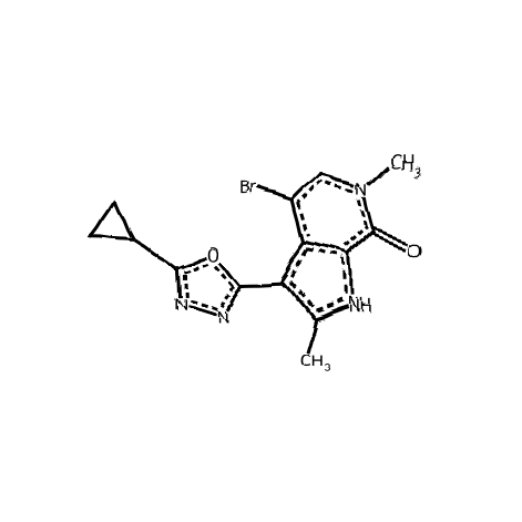 Cc1[nH]c2c(=O)n(C)cc(Br)c2c1-c1nnc(C2CC2)o1